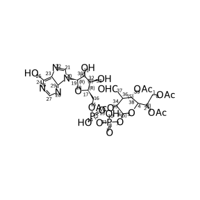 CC(=O)OC[C@@H](OC(C)=O)C1O[C@@H](OP(=O)(O)OP(=O)(O)OC[C@H]2O[C@@H](n3cnc4c(O)ncnc43)[C@@H](O)[C@H]2O)C(OC(C)=O)C(C=O)[C@@H]1OC(C)=O